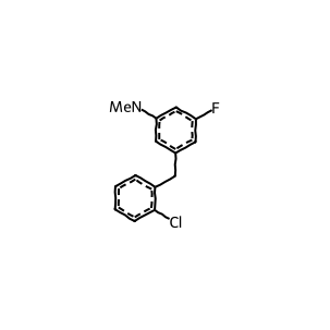 CNc1cc(F)cc(Cc2ccccc2Cl)c1